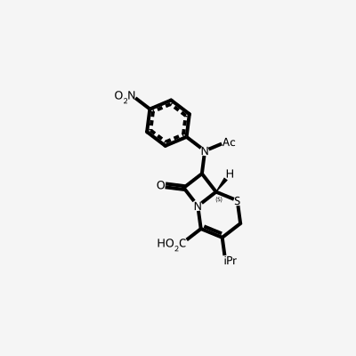 CC(=O)N(c1ccc([N+](=O)[O-])cc1)C1C(=O)N2C(C(=O)O)=C(C(C)C)CS[C@@H]12